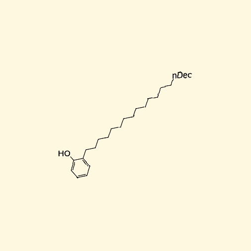 CCCCCCCCCCCCCCCCCCCCCCCCc1ccccc1O